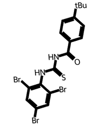 CC(C)(C)c1ccc(C(=O)NC(=S)Nc2c(Br)cc(Br)cc2Br)cc1